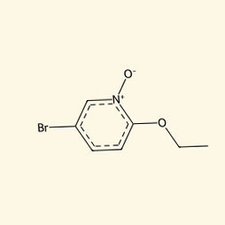 CCOc1ccc(Br)c[n+]1[O-]